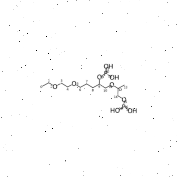 CCOCCOCCCC(COC(C)COP(O)O)OP(O)O